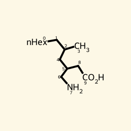 CCCCCCCC(C)CC(CN)CC(=O)O